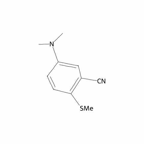 CSc1ccc(N(C)C)cc1C#N